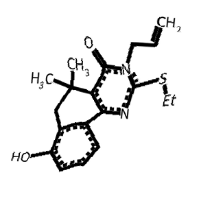 C=CCn1c(SCC)nc2c(c1=O)C(C)(C)Cc1c(O)cccc1-2